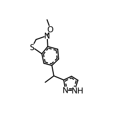 CON1CSc2cc(C(C)c3cc[nH]n3)ccc21